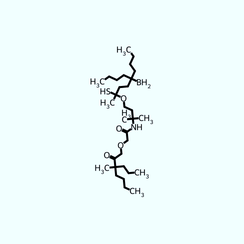 BC(CCCC)(CCCC)CCC(C)(S)OCCC(C)(C)NC(=O)COCC(=O)C(C)(CCC)CCCC